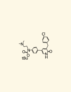 CN(C)CCN(C(=O)OC(C)(C)C)c1ccc(-c2c[nH]c(=O)c(Cc3ccc(Cl)cc3)c2)cc1